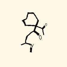 C=NC(C)CC(=O)C1(C(C)=O)CCCCC1